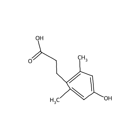 Cc1cc(O)cc(C)c1CCC(=O)O